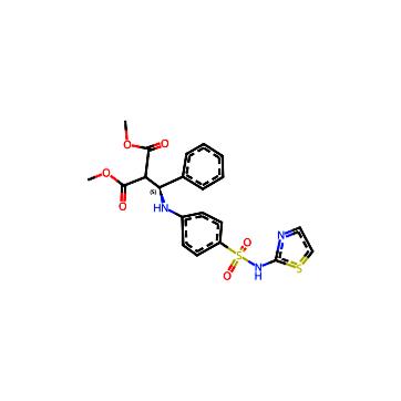 COC(=O)C(C(=O)OC)[C@H](Nc1ccc(S(=O)(=O)Nc2nccs2)cc1)c1ccccc1